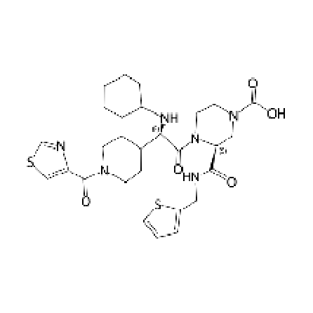 O=C(NCc1cccs1)[C@@H]1CN(C(=O)O)CCN1C(=O)[C@H](NC1CCCCC1)C1CCN(C(=O)c2cscn2)CC1